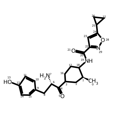 C[C@H]1CC(C(=O)[C@@H](N)Cc2ccc(O)cc2)CCC1NC(=O)c1cc(C2CC2)on1